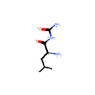 CC(C)C[C@H](N)C(=O)NC(N)=O